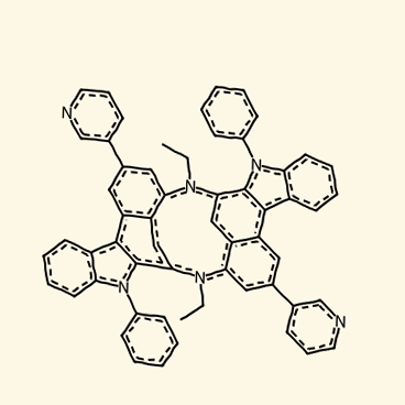 CCn1c2cc(-c3cccnc3)cc3c2cc(c2c3c3ccccc3n2-c2ccccc2)n(CC)c2cc(-c3cccnc3)cc3c2cc1c1c3c2ccccc2n1-c1ccccc1